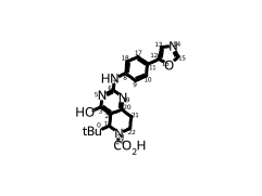 CC(C)(C)C1c2c(O)nc(Nc3ccc(-c4cnco4)cc3)nc2CCN1C(=O)O